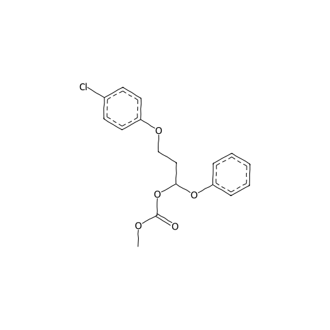 COC(=O)OC(CCOc1ccc(Cl)cc1)Oc1ccccc1